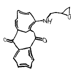 O=C1c2ccccc2C(=O)c2c(NCC3CO3)cccc21